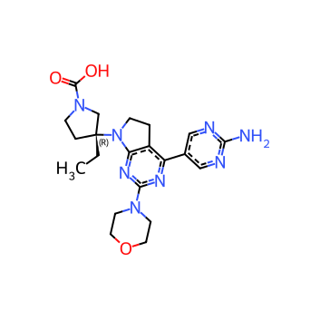 CC[C@@]1(N2CCc3c(-c4cnc(N)nc4)nc(N4CCOCC4)nc32)CCN(C(=O)O)C1